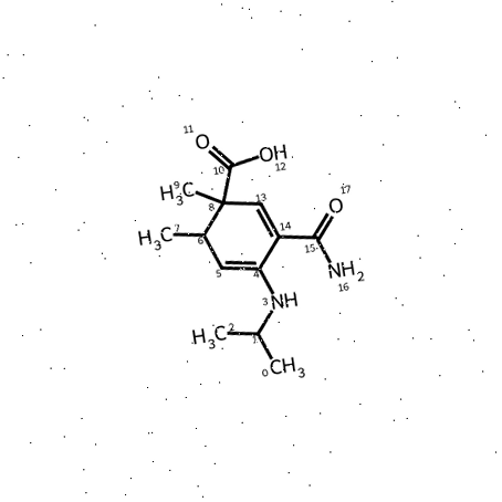 CC(C)NC1=CC(C)C(C)(C(=O)O)C=C1C(N)=O